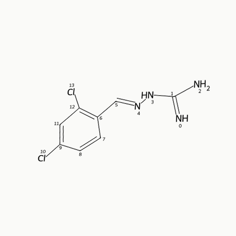 N=C(N)NN=Cc1ccc(Cl)cc1Cl